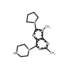 Cc1nc(N2CCNCC2)c2nc(N3CCCC3)n(C)c2n1